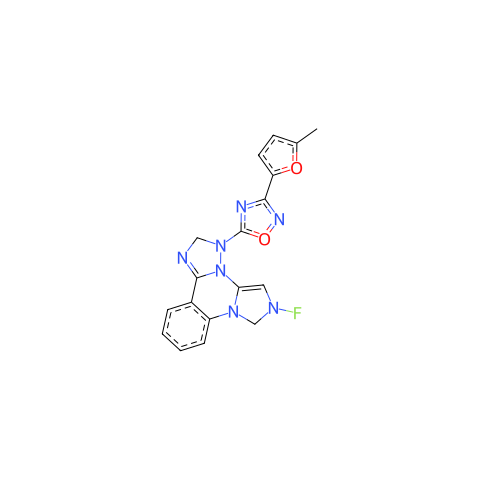 Cc1ccc(-c2noc(N3CN=C4c5ccccc5N5CN(F)C=C5N43)n2)o1